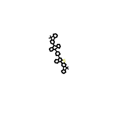 CC1(C)c2ccccc2-c2cc(-c3c4ccccc4c(-c4ccc(-c5cc6sc7cc8c(cc7c6c6ccccc56)-c5ccccc5C8(C)C)cc4)c4ccccc34)ccc21